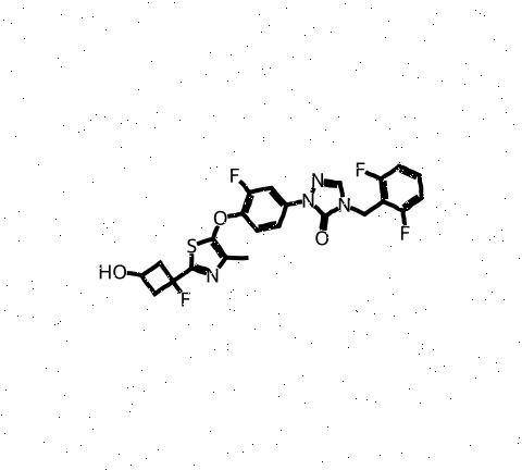 Cc1nc(C2(F)CC(O)C2)sc1Oc1ccc(-n2ncn(Cc3c(F)cccc3F)c2=O)cc1F